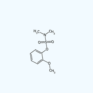 COc1ccccc1OS(=O)(=O)N(C)C